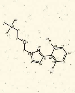 C[Si](C)(C)CCOCn1ccc(-c2c(F)cccc2F)n1